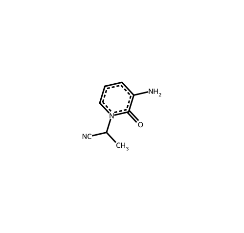 CC(C#N)n1cccc(N)c1=O